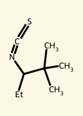 CCC(N=C=S)C(C)(C)C